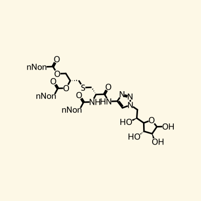 CCCCCCCCCC(=O)N[C@H](CSC[C@@H](COC(=O)CCCCCCCCC)OC(=O)CCCCCCCCC)C(=O)Nc1cn(C[C@H](O)C2OC(O)[C@@H](O)[C@@H]2O)nn1